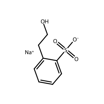 O=S(=O)([O-])c1ccccc1CCO.[Na+]